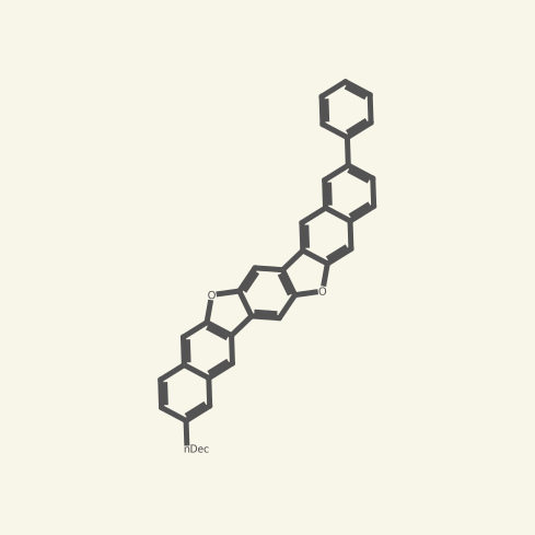 CCCCCCCCCCc1ccc2cc3oc4cc5c(cc4c3cc2c1)oc1cc2ccc(-c3ccccc3)cc2cc15